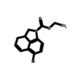 CCOC(=O)N1CC2CC=Cc3c(Br)ccc1c32